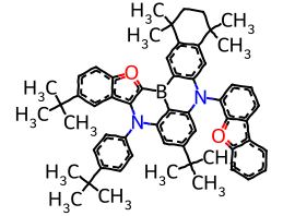 CC(C)(C)c1ccc(N2c3cc(C(C)(C)C)cc4c3B(c3cc5c(cc3N4c3cccc4c3oc3ccccc34)C(C)(C)CCC5(C)C)c3oc4ccc(C(C)(C)C)cc4c32)cc1